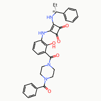 CC[C@@H](Nc1c(Nc2cccc(C(=O)N3CCN(C(=O)c4ccccc4)CC3)c2O)c(=O)c1=O)c1ccccc1